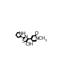 Cl.Cn1ccc(-c2csc([C@H]3CCCN3)n2)cc1=O